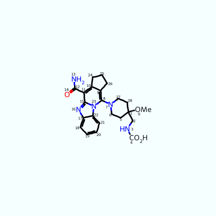 COC1(CNC(=O)O)CCN(c2c3c(c(C(N)=O)c4nc5ccccc5n24)CCC3)CC1